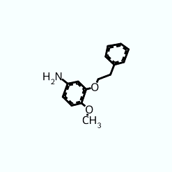 COc1ccc(N)cc1OCCc1ccccc1